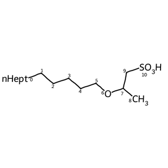 CCCCCCCCCCCCOC(C)CS(=O)(=O)O